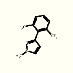 Cn1[c]cc(-c2c(C(F)(F)F)cccc2C(F)(F)F)n1